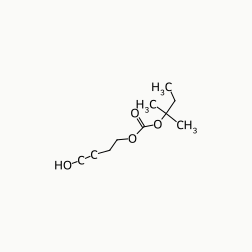 CCC(C)(C)OC(=O)OCCCCO